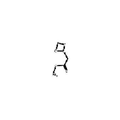 O=C(CP1OCO1)OP